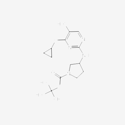 Cc1cnc(NC2CCN(C(=O)OC(C)(C)C)C2)nc1OC1CC1